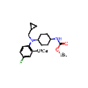 COc1cc(F)ccc1N(CC1CC1)C1CCC(NC(=O)OC(C)(C)C)CC1